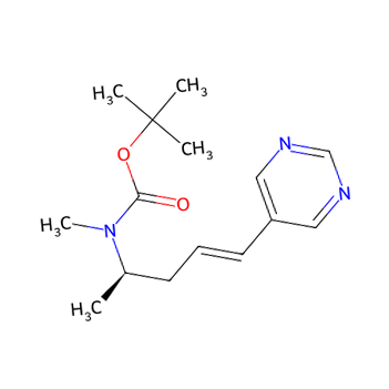 C[C@H](C/C=C/c1cncnc1)N(C)C(=O)OC(C)(C)C